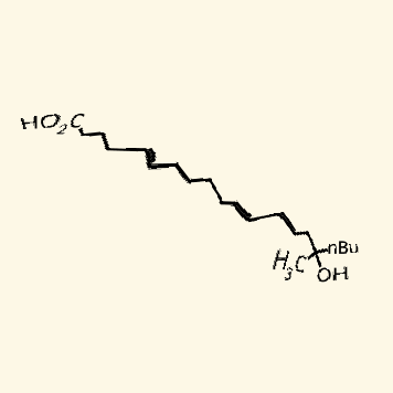 CCCCC(C)(O)CC=CC=CCCCCC=CCCCC(=O)O